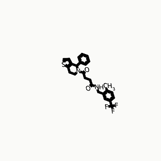 Cc1ccc(C(F)(F)F)cc1CNC(=O)CCC(=O)N1CCc2sccc2C1c1ccccc1